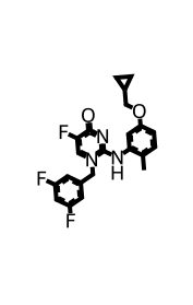 Cc1ccc(OCC2CC2)cc1Nc1nc(=O)c(F)cn1Cc1cc(F)cc(F)c1